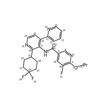 CC(C)Oc1ncc(C(=O)Nc2c(-c3ccccn3)ccnc2C2CCC(F)(F)CC2)cc1F